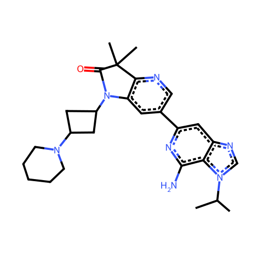 CC(C)n1cnc2cc(-c3cnc4c(c3)N(C3CC(N5CCCCC5)C3)C(=O)C4(C)C)nc(N)c21